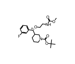 COC(=O)NCCO[C@@H](c1cccc(F)c1)C1CCCN(C(=O)OC(C)(C)C)C1